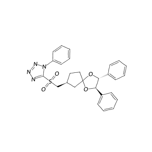 O=S(=O)(C[C@H]1CCC2(C1)O[C@H](c1ccccc1)[C@@H](c1ccccc1)O2)c1nnnn1-c1ccccc1